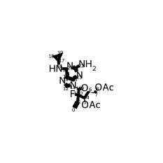 C#CC1(F)[C@@H](OC(C)=O)[C@@H](COC(C)=O)O[C@H]1n1cnc2c(NC3CC3)nc(N)nc21